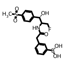 CS(=O)(=O)c1ccc([C@H](O)C(CF)NC(=O)Cc2cccc(B(O)O)c2)cc1